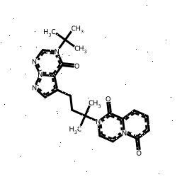 CC(C)(C)n1cnn2ncc(CCC(C)(C)n3ccn4c(=O)cccc4c3=O)c2c1=O